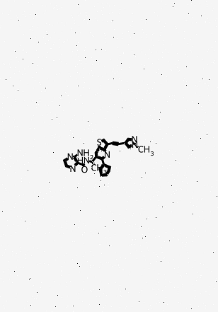 C[C@@H](NC(=O)c1nccnc1N)c1cc2scc(C#Cc3cnn(C)c3)c2nc1-c1ccccc1